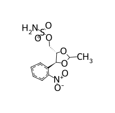 CC1O[C@@H](COS(N)(=O)=O)[C@H](c2ccccc2[N+](=O)[O-])O1